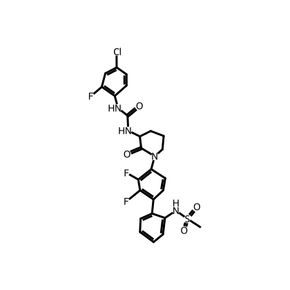 CS(=O)(=O)Nc1ccccc1-c1ccc(N2CCCC(NC(=O)Nc3ccc(Cl)cc3F)C2=O)c(F)c1F